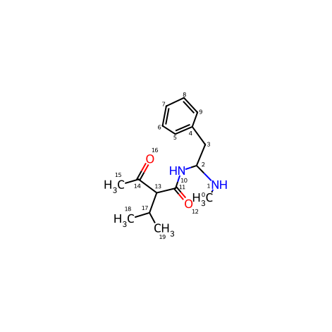 CNC(Cc1ccccc1)NC(=O)C(C(C)=O)C(C)C